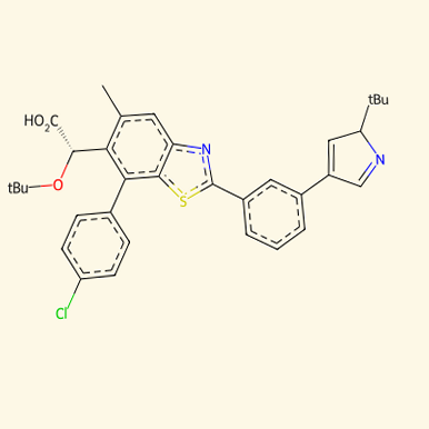 Cc1cc2nc(-c3cccc(C4=CC(C(C)(C)C)N=C4)c3)sc2c(-c2ccc(Cl)cc2)c1[C@H](OC(C)(C)C)C(=O)O